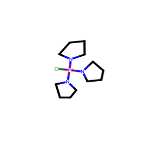 Cl[P+](N1CCCC1)(N1CCCC1)N1CCCC1